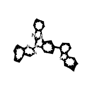 c1ccc2nc(-n3c4ccc(-c5cccc6c5sc5ccccc56)cc4n4c5ccccc5nc34)ncc2c1